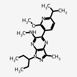 CCC(CC)n1nc(C)c2nc(-c3ccc(C(C)C)nc3OC)c(NC)nc21